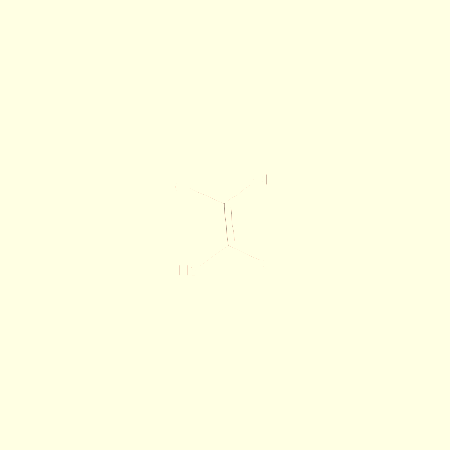 OC(Cl)=C(S)Cl